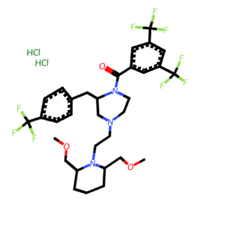 COCC1CCCC(COC)N1CCN1CCN(C(=O)c2cc(C(F)(F)F)cc(C(F)(F)F)c2)C(Cc2ccc(C(F)(F)F)cc2)C1.Cl.Cl